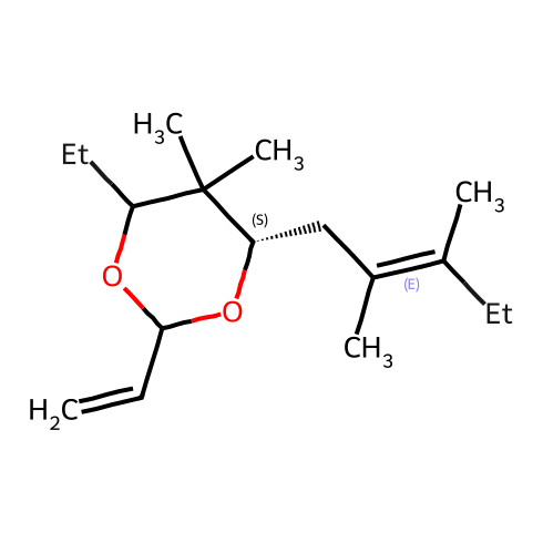 C=CC1OC(CC)C(C)(C)[C@H](C/C(C)=C(\C)CC)O1